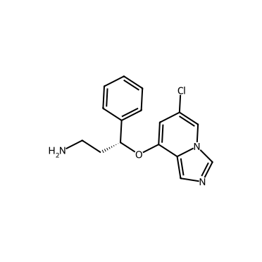 NCC[C@@H](Oc1cc(Cl)cn2cncc12)c1ccccc1